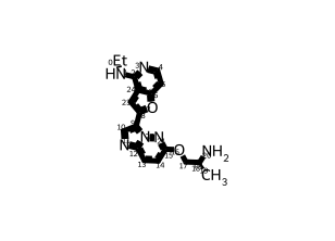 CCNc1nccc2oc(-c3cnc4ccc(OC[C@H](C)N)nn34)cc12